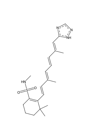 CNS(=O)(=O)C1=C(/C=C/C(C)=C/C=C/C(C)=C/c2ncn[nH]2)C(C)(C)CCC1